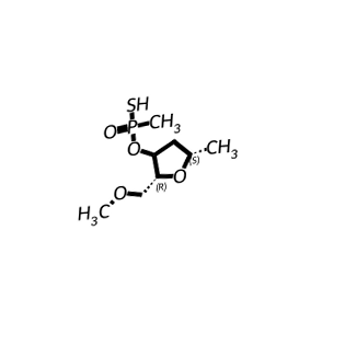 COC[C@H]1O[C@@H](C)CC1OP(C)(=O)S